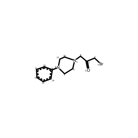 O=C(CBr)CN1CCN(c2ccccc2)CC1